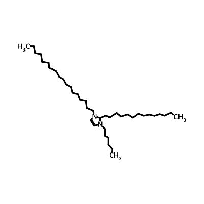 CCCCCCCCCCCCCCCCCCN1C=CN(CCCCCC)C1CCCCCCCCCCCCCC